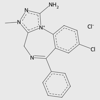 Cn1nc(N)[n+]2c1CN=C(c1ccccc1)c1cc(Cl)ccc1-2.[Cl-]